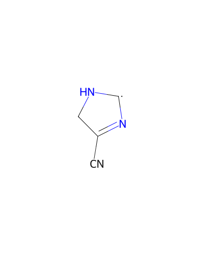 N#CC1=N[CH]NC1